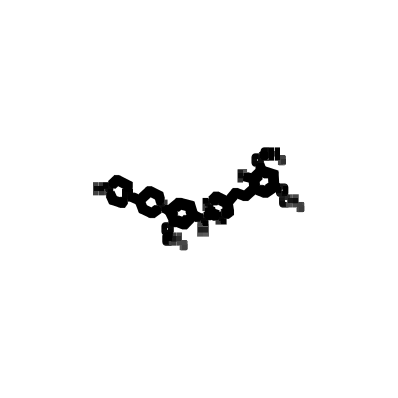 COc1cc(CCc2cnc(Nc3ccc(N4CCC(N5CCNCC5)CC4)c(OC)c3)nc2)c(F)c(OC)c1